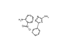 Nc1ccccc1[N+](=O)[O-].Nc1nnc(-c2ccccc2)s1